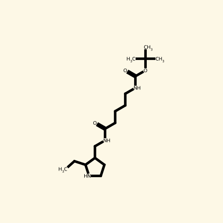 CCC1NCCC1CNC(=O)CCCCNC(=O)OC(C)(C)C